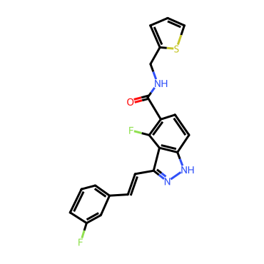 O=C(NCc1cccs1)c1ccc2[nH]nc(/C=C/c3cccc(F)c3)c2c1F